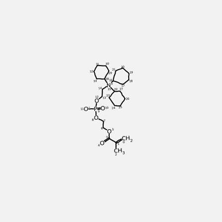 C=C(C)C(=O)OCCOP(=O)([O-])OCC[N+](C1CCCCC1)(C1CCCCC1)C1CCCCC1